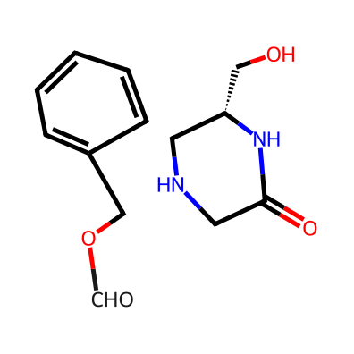 O=C1CNC[C@H](CO)N1.O=COCc1ccccc1